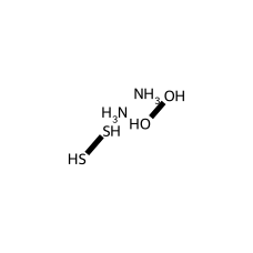 N.N.OO.SS